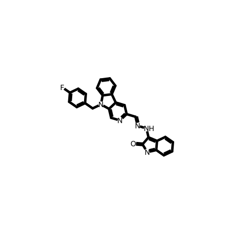 O=C1N=c2ccccc2=C1N/N=C/c1cc2c3ccccc3n(Cc3ccc(F)cc3)c2cn1